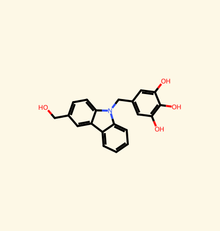 OCc1ccc2c(c1)c1ccccc1n2Cc1cc(O)c(O)c(O)c1